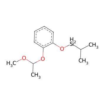 COC(C)Oc1ccccc1O[SiH2]C(C)C